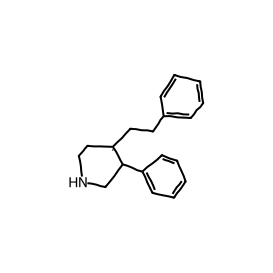 c1ccc(CC[C]2CCNCC2c2ccccc2)cc1